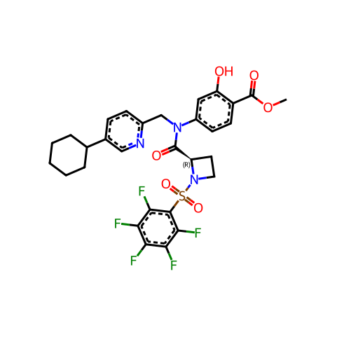 COC(=O)c1ccc(N(Cc2ccc(C3CCCCC3)cn2)C(=O)[C@H]2CCN2S(=O)(=O)c2c(F)c(F)c(F)c(F)c2F)cc1O